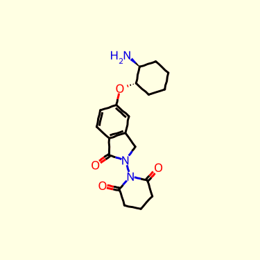 N[C@H]1CCCC[C@@H]1Oc1ccc2c(c1)CN(N1C(=O)CCCC1=O)C2=O